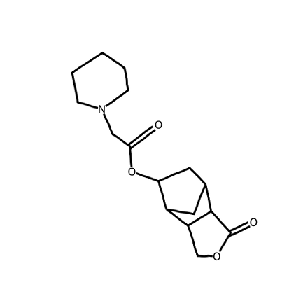 O=C(CN1CCCCC1)OC1CC2CC1C1COC(=O)C21